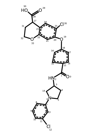 O=C(NC1CCN(c2cccc(Cl)c2)C1)c1ccc(Oc2cc3c(cc2Cl)C(C(=O)O)CCO3)cc1